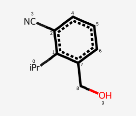 CC(C)c1c(C#N)cccc1CO